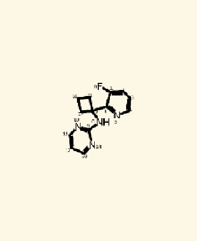 Fc1cccnc1C1(Nc2ncccn2)CCC1